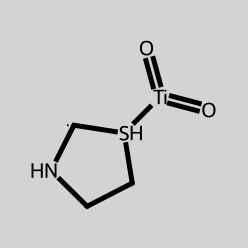 [O]=[Ti](=[O])[SH]1[CH]NCC1